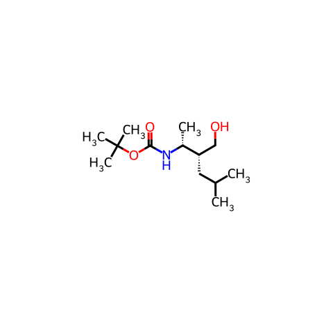 CC(C)C[C@@H](CO)[C@@H](C)NC(=O)OC(C)(C)C